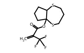 C=C(C(=O)OC12CCCC1SCCCS2)C(F)(F)F